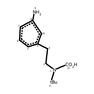 CC(C)(C)N(CCc1cccc(N)c1)C(=O)O